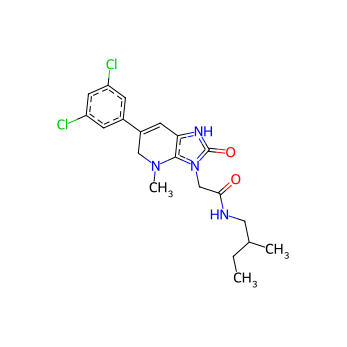 CCC(C)CNC(=O)Cn1c2c([nH]c1=O)C=C(c1cc(Cl)cc(Cl)c1)CN2C